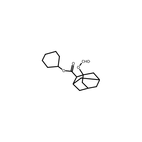 O=[C]OC12CC3CC(CC(C3)C1C(=O)OC1CCCCC1)C2